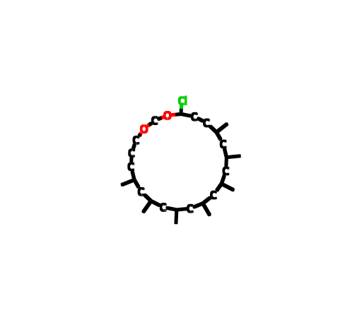 CC1CCCOCOC(Cl)CCC(C)CC(C)CC(C)CC(C)CC(C)CC(C)C1